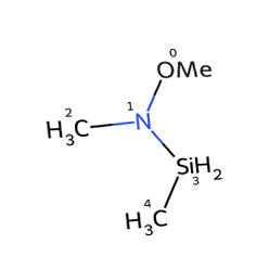 CON(C)[SiH2]C